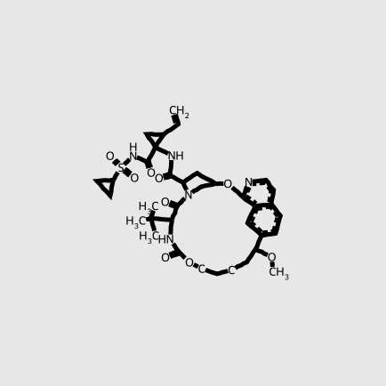 C=CC1CC1(NC(=O)C1CC2CN1C(=O)C(C(C)(C)C)NC(=O)OCCCCC(OC)c1ccc3ccnc(c3c1)O2)C(=O)NS(=O)(=O)C1CC1